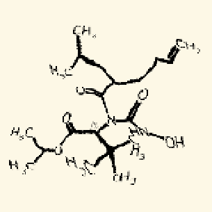 C=CCCC(CC(C)C)C(=O)N(C(=O)NO)[C@H](C(=O)OC(C)C)C(C)(C)C